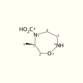 C[C@@H]1CONCCN1C(=O)O